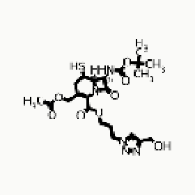 CC(=O)OCC1=C(C(=O)OCCCn2cc(CO)nn2)N2C(=O)[C@H](NC(=O)OC(C)(C)C)[C@@H]2C(S)C1